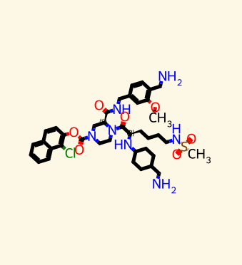 COc1cc(CNC(=O)[C@@H]2CN(C(=O)Oc3ccc4ccccc4c3Cl)CCN2C(=O)[C@@H](CCCCNS(C)(=O)=O)NC2CCC(CN)CC2)ccc1CN